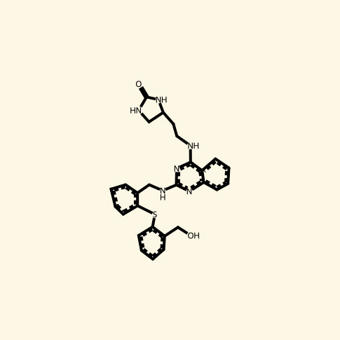 O=C1NCC(CCNc2nc(NCc3ccccc3Sc3ccccc3CO)nc3ccccc23)N1